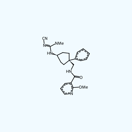 CN/C(=N\C#N)N[C@H]1CC[C@](CNC(=O)c2cccnc2OC)(c2ccccc2)CC1